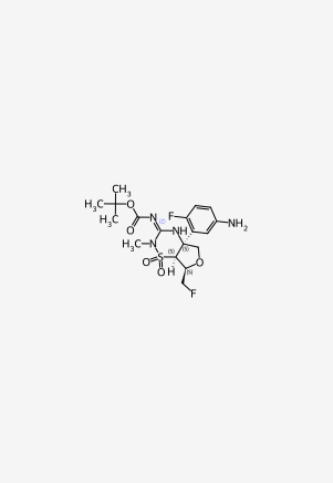 CN1/C(=N\C(=O)OC(C)(C)C)N[C@@]2(c3cc(N)ccc3F)CO[C@@H](CF)[C@H]2S1(=O)=O